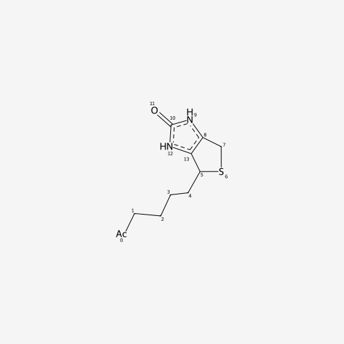 CC(=O)CCCCC1SCc2[nH]c(=O)[nH]c21